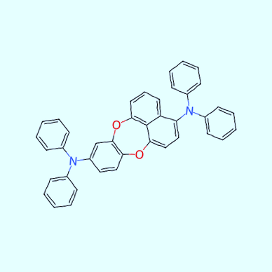 c1ccc(N(c2ccccc2)c2ccc3c(c2)Oc2cccc4c(N(c5ccccc5)c5ccccc5)ccc(c24)O3)cc1